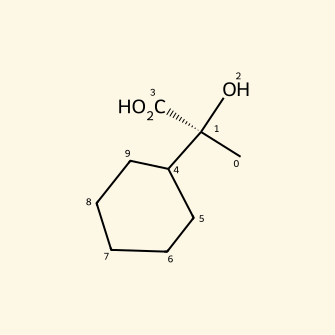 C[C@@](O)(C(=O)O)C1CCCCC1